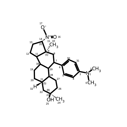 CN(C)c1ccc(C2C[C@@]3(C)C(CC[C@@H]3[N+](=O)[O-])C3CC[C@H]4C[C@](C)(O)CCC4C23)cc1